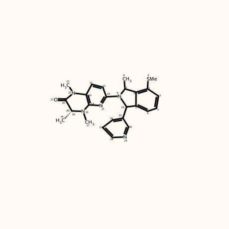 CSc1cccc2c1C(C)N(c1ccc3c(n1)N(C)[C@H](C)C(=O)N3C)C2c1cccnc1